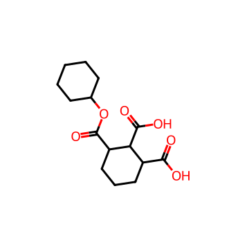 O=C(O)C1CCCC(C(=O)OC2CCCCC2)C1C(=O)O